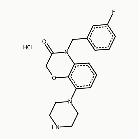 Cl.O=C1COc2c(N3CCNCC3)cccc2N1Cc1cccc(F)c1